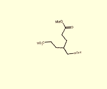 CCCCCCCCCC(CCC(=O)O)CCC(=O)OC